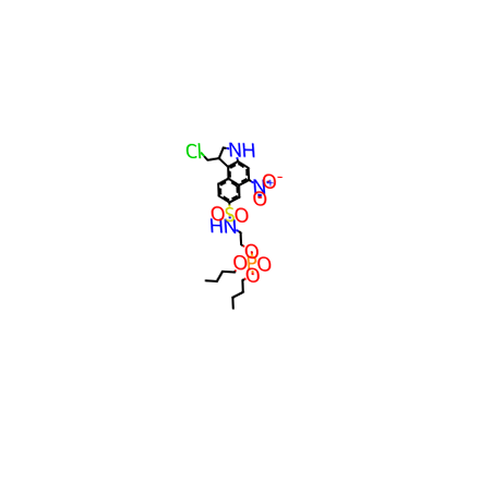 CCCCOP(=O)(OCCCC)OCCNS(=O)(=O)c1ccc2c3c(cc([N+](=O)[O-])c2c1)NCC3CCl